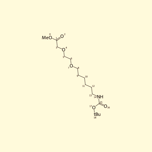 COC(=O)COCCOCCCCCCNC(=O)OC(C)(C)C